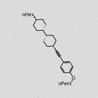 CCCCCC[C@H]1CC[C@H]([C@H]2CC[C@H](C#Cc3ccc(OCCCCC)cc3)CC2)CC1